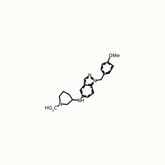 COc1ccc(Cn2ncc3cc(NC4CCCN(C(=O)O)C4)ccc32)cc1